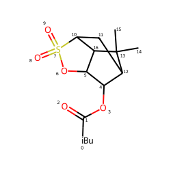 CCC(C)C(=O)OC1C2OS(=O)(=O)C3CC1C(C)(C)C23